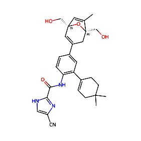 CC1=C[C@]2(CO)C=C(c3ccc(NC(=O)c4nc(C#N)c[nH]4)c(C4=CCC(C)(C)CC4)c3)C[C@@]1(CO)O2